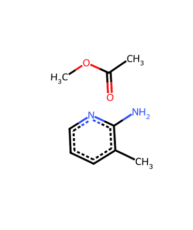 COC(C)=O.Cc1cccnc1N